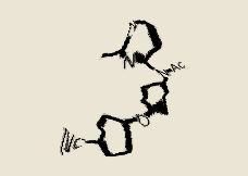 CC(=O)N(c1ccc(Oc2ccc(C#N)cc2)cc1)c1ccnc(C)n1